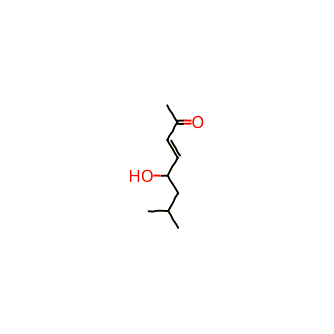 CC(=O)C=CC(O)CC(C)C